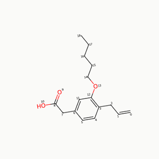 C=CCc1ccc(CC(=O)O)cc1OCCCCC